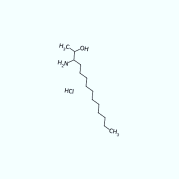 CCCCCCCCCCCC(N)C(C)O.Cl